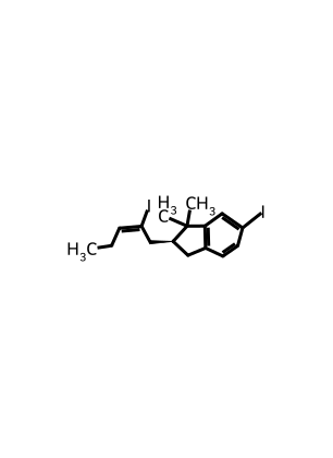 CC/C=C(/I)C[C@@H]1Cc2ccc(I)cc2C1(C)C